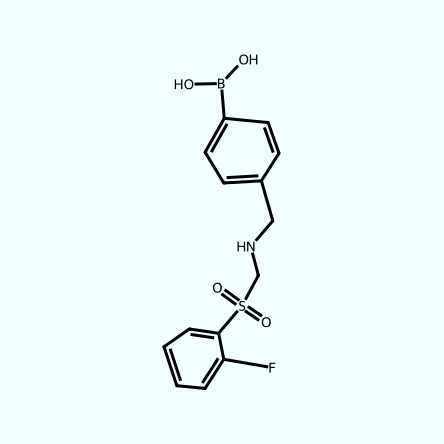 O=S(=O)(CNCc1ccc(B(O)O)cc1)c1ccccc1F